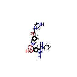 O=C(c1cc2c(NC3CCCCC3)n[nH]c2cc1O)N1Cc2ccc(OCCN3CCNCC3)cc2C1